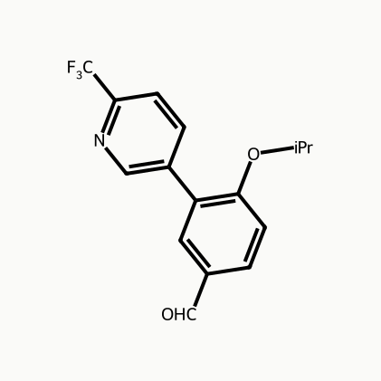 CC(C)Oc1ccc(C=O)cc1-c1ccc(C(F)(F)F)nc1